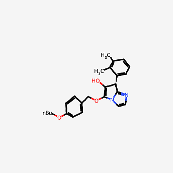 CCCCOc1ccc(COC2=C(O)[C@@H](c3cccc(C)c3C)c3nccn32)cc1